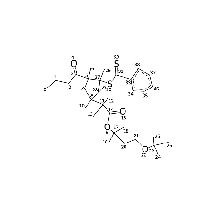 CCCC(=O)C(C)(CC(C)(C)C(C)(C)C(=O)OC(C)(C)CCOC(C)(C)C)C(C)(C)SC(=S)c1ccccc1